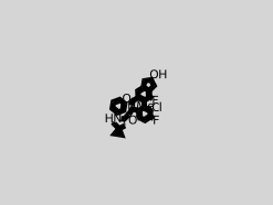 CNC(=O)c1cc2c(c(F)c1-c1c(Cl)c(F)cc3c1C[C@](c1ccccc1)([C@@H]1CC4(CC4)CN1)O3)C[C@@H](O)C2